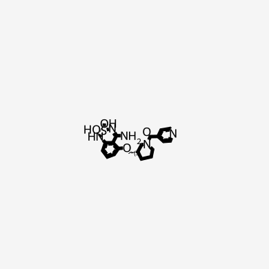 NC1=NS(O)(O)Nc2cccc(OC[C@H]3CCCN(C(=O)c4ccncc4)C3)c21